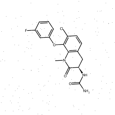 CN1C(=O)[C@H](NC(N)=O)Cc2ccc(Cl)c(Oc3cccc(F)c3)c21